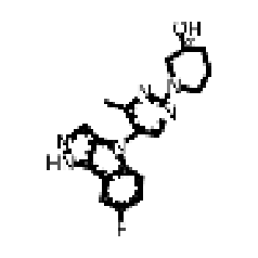 Cc1nc(N2CCC[C@H](O)C2)ncc1-n1c2ccc(F)cc2c2[nH]ncc21